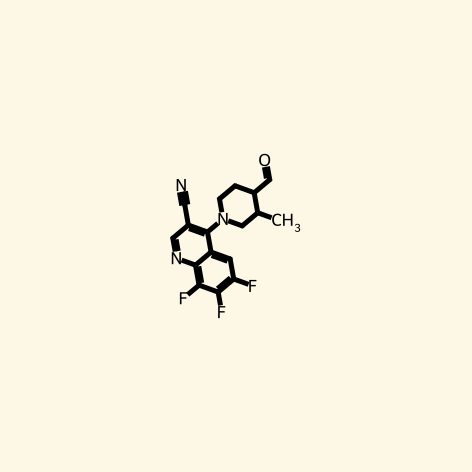 CC1CN(c2c(C#N)cnc3c(F)c(F)c(F)cc23)CCC1C=O